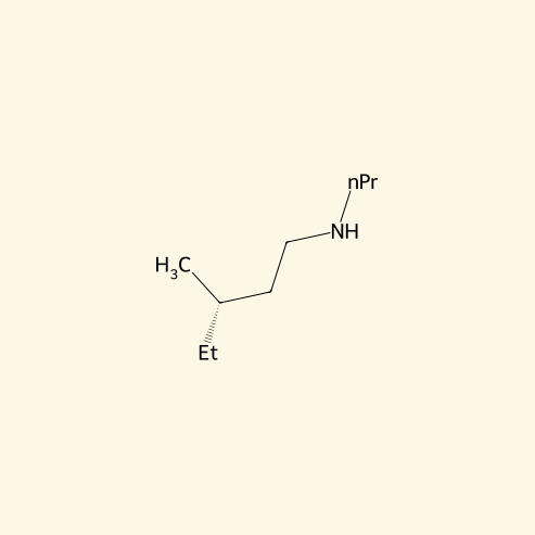 CCCNCC[C@@H](C)CC